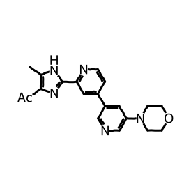 CC(=O)c1nc(-c2cc(-c3cncc(N4CCOCC4)c3)ccn2)[nH]c1C